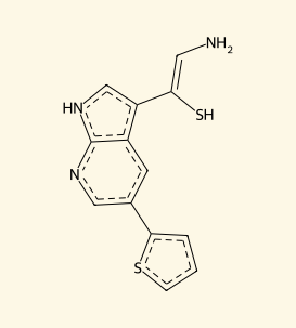 N/C=C(\S)c1c[nH]c2ncc(-c3cccs3)cc12